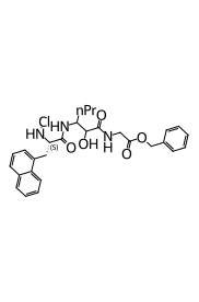 CCCC(NC(=O)[C@H](Cc1cccc2ccccc12)NCl)C(O)C(=O)NCC(=O)OCc1ccccc1